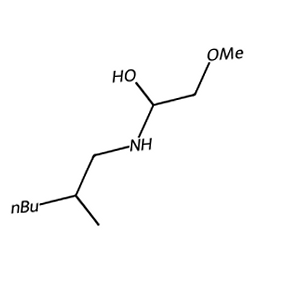 CCCCC(C)CNC(O)COC